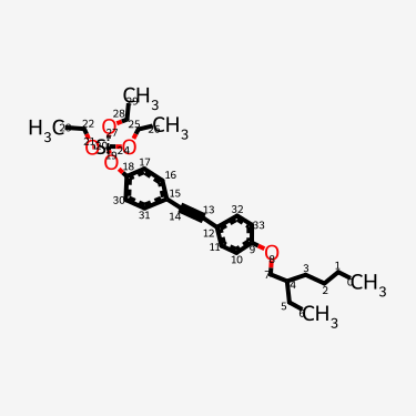 CCCCC(CC)COc1ccc(C#Cc2ccc(O[Si](OCC)(OCC)OCC)cc2)cc1